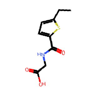 CCc1ccc(C(=O)NCC(=O)O)s1